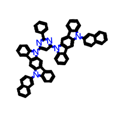 c1ccc(-c2nc(-n3c4ccccc4c4cc5c(cc43)c3ccccc3n5-c3ccc4ccccc4c3)cc(-n3c4ccccc4c4cc5c(cc43)c3ccccc3n5-c3ccc4ccccc4c3)n2)cc1